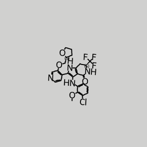 COc1c(Cl)cccc1Nc1c(-c2ccncc2OC[C@@H]2CCCO2)[nH]c2c1C(=O)N[C@H](C(F)(F)F)C2